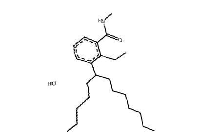 CCCCCCCC(CCCCC)c1cccc(C(=O)NC)c1CC.Cl